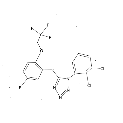 Fc1ccc(OCC(F)(F)F)c([CH]c2nnnn2-c2cccc(Cl)c2Cl)c1